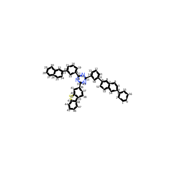 c1ccc(-c2ccc3cc(-c4cccc(-c5nc(-c6cccc(-c7ccc8ccccc8c7)c6)nc(-c6ccc7c(c6)sc6ccccc67)n5)c4)ccc3c2)cc1